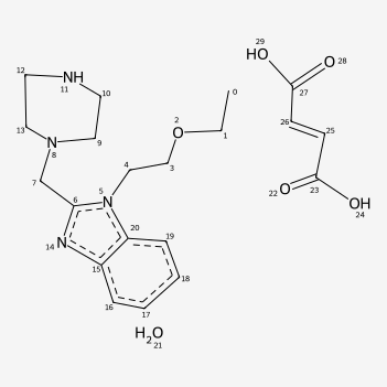 CCOCCn1c(CN2CCNCC2)nc2ccccc21.O.O=C(O)C=CC(=O)O